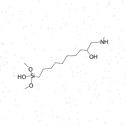 CNCC(O)CCCCCCCC[Si](O)(OC)OC